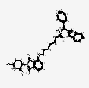 O=C1CCC(N2C(=O)c3cccc(OCCCCCCC(=O)NC(c4cccnc4)c4cc5ccccc5o4)c3C2=O)C(=O)N1